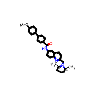 COc1ccc(-c2ccc(C(=O)Nc3ccc4nc(CN5[C@H](C)CCC[C@@H]5C)ccc4c3)cc2)cc1